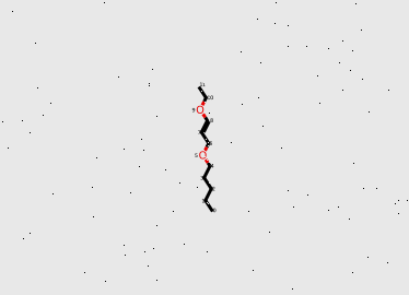 CCCCCOCC=COCC